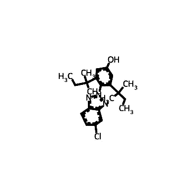 CCC(C)(C)c1cc(O)cc(C(C)(C)CC)c1-n1nc2ccc(Cl)cc2n1